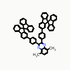 Cc1ccc(C)c2nc(-c3ccc(-c4ccc5c(c4)C4(c6ccccc6-c6ccccc64)c4ccccc4-5)cc3)c(-c3ccc(-c4ccc5c(c4)C4(c6ccccc6-c6ccccc64)c4ccccc4-5)cc3)nc12